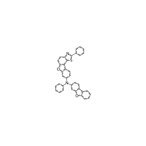 c1ccc(-c2nc3ccc4oc5cc(N(c6ccccc6)c6ccc7c(c6)oc6ccccc67)ccc5c4c3s2)cc1